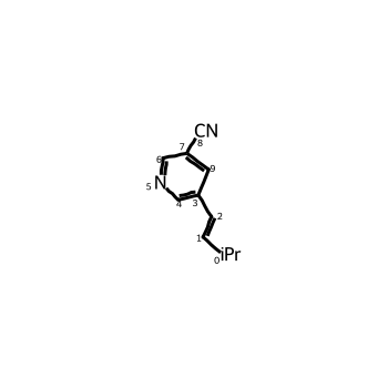 CC(C)C=Cc1cncc(C#N)c1